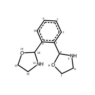 c1ccc(C2NCCO2)c(C2NCCO2)c1